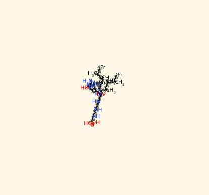 CCCCNc1nc(N)c2nc(O)n(Cc3ccc(C(=O)N(CCC(C)CCCC(C)CCCC(C)CCCC(C)C)C(CCC(C)CCCC(C)CCCC(C)CCCC(C)C)C(=O)NCCCNCCCCNCCCNCCCP(=O)(O)O)cc3)c2n1